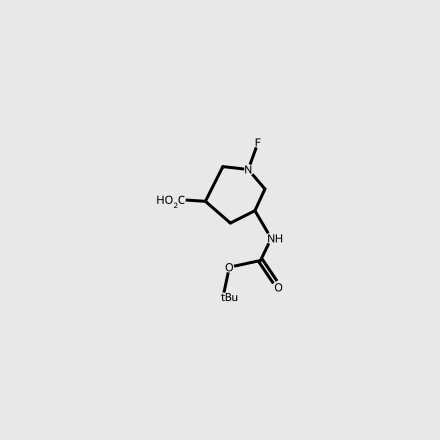 CC(C)(C)OC(=O)NC1CC(C(=O)O)CN(F)C1